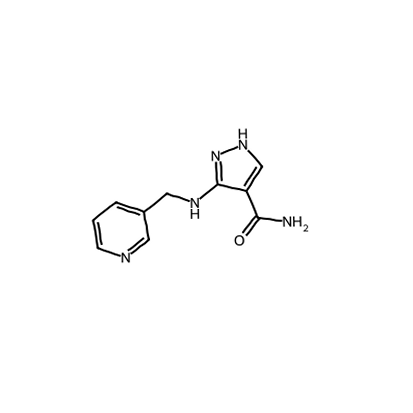 NC(=O)c1c[nH]nc1NCc1cccnc1